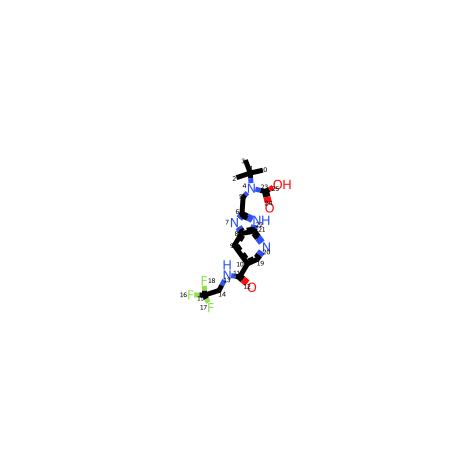 CC(C)(C)N(Cc1nc2cc(C(=O)NCC(F)(F)F)cnc2[nH]1)C(=O)O